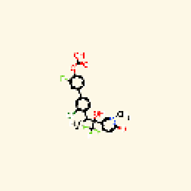 CC(c1ccc(-c2ccc(OC(=O)O)c(F)c2)cc1Cl)C(O)(c1ccc(=O)n(C)c1)C(F)(F)F